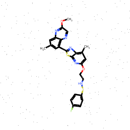 COc1cnc2c(-c3nc4c(C)cc(OCCNSc5ccc(F)cc5)nc4s3)cc(C)cc2n1